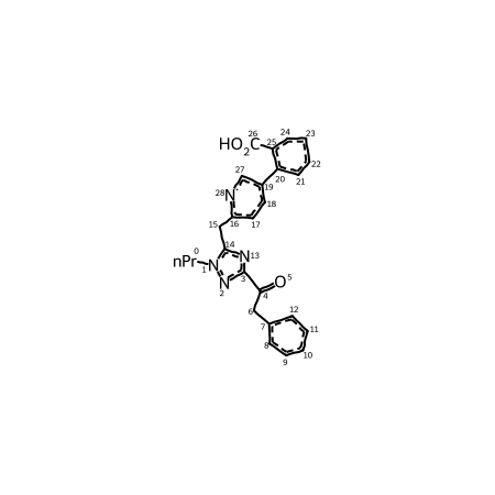 CCCn1nc(C(=O)Cc2ccccc2)nc1Cc1ccc(-c2ccccc2C(=O)O)cn1